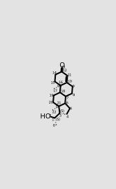 C[C@H](O)[C@H]1CCC2C3CCC4=CC(=O)CC[C@]4(C)C3CC[C@@]21C